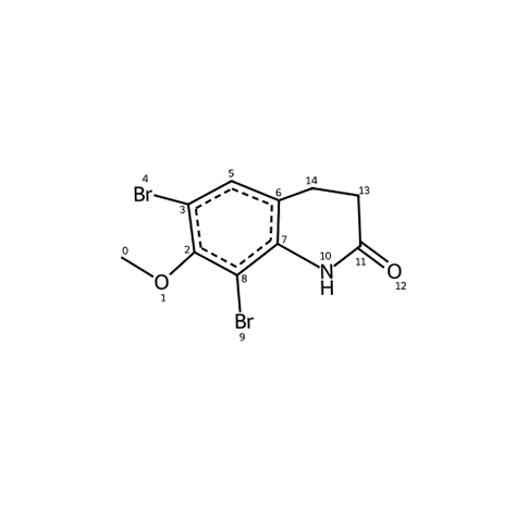 COc1c(Br)cc2c(c1Br)NC(=O)CC2